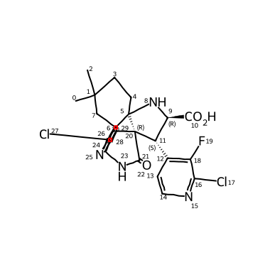 CC1(C)CCC2(CC1)N[C@@H](C(=O)O)[C@H](c1ccnc(Cl)c1F)[C@]21C(=O)Nc2nc(Cl)ccc21